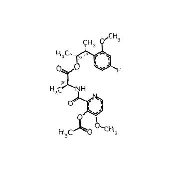 COc1cc(F)ccc1[C@@H](C)[C@@H](C)OC(=O)[C@H](C)NC(=O)c1nccc(OC)c1OC(C)=O